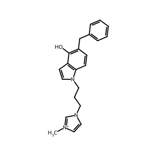 C[n+]1ccn(CCCn2ccc3c(O)c(Cc4ccccc4)ccc32)c1